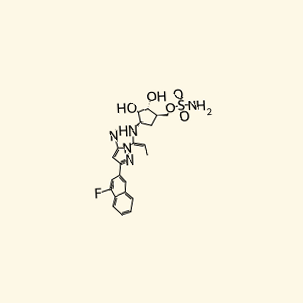 C=Nc1cc(-c2cc(F)c3ccccc3c2)nn1/C(=C\C)N[C@@H]1C[C@H](COS(N)(=O)=O)[C@@H](O)[C@H]1O